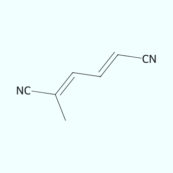 CC(C#N)=CC=CC#N